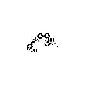 Nc1cccnc1Nc1cccc(-c2cccc(NC(=O)/C=C/c3ccnc(O)c3)c2)c1